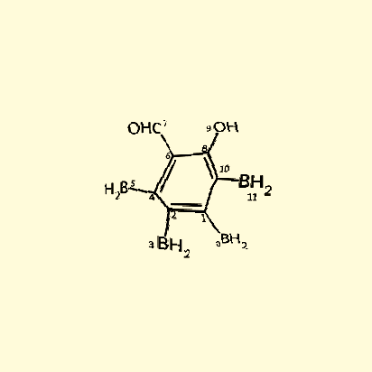 Bc1c(B)c(B)c(C=O)c(O)c1B